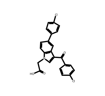 O=C(O)Cn1cc(C(=O)c2ccc(Cl)cc2)c2cc(-c3ccc(Cl)cc3)ccc21